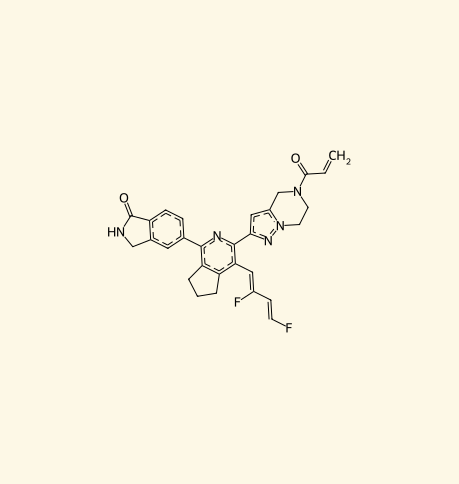 C=CC(=O)N1CCn2nc(-c3nc(-c4ccc5c(c4)CNC5=O)c4c(c3/C=C(F)/C=C/F)CCC4)cc2C1